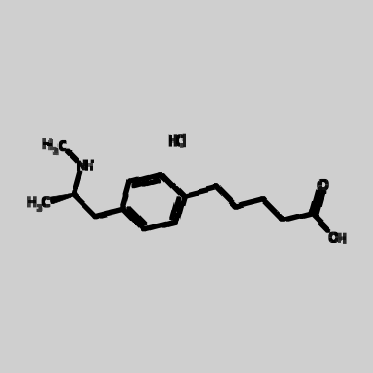 CN[C@H](C)Cc1ccc(CCCCC(=O)O)cc1.Cl